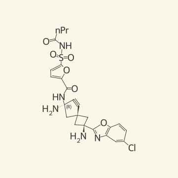 CCCC(=O)NS(=O)(=O)c1ccc(C(=O)N[C@@]2(N)C#C[C@]3(C2)C[C@@](N)(c2nc4cc(Cl)ccc4o2)C3)o1